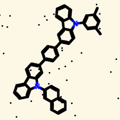 Cc1cc(C)cc(-n2c3ccccc3c3cc(-c4ccc(-c5ccc6c7ccccc7n(-c7ccc8ccccc8c7)c6c5)cc4)ccc32)c1